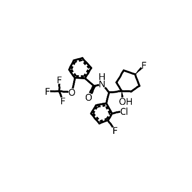 O=C(NC(c1cccc(F)c1Cl)[C@]1(O)CC[C@@H](F)CC1)c1ccccc1OC(F)(F)F